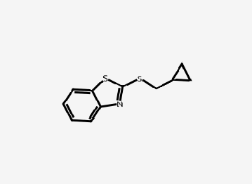 c1ccc2sc(SCC3CC3)nc2c1